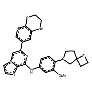 COc1cc(Nc2nc(-c3cnc4c(c3)NCCO4)cn3ccnc23)ccc1N1CCC2(CCO2)C1